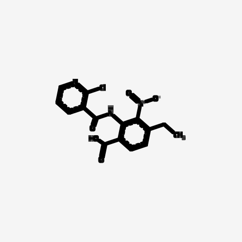 CCc1ccc(C(=O)O)c(NC(=O)c2cccnc2Cl)c1[N+](=O)[O-]